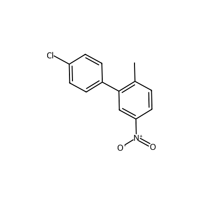 Cc1ccc([N+](=O)[O-])cc1-c1ccc(Cl)cc1